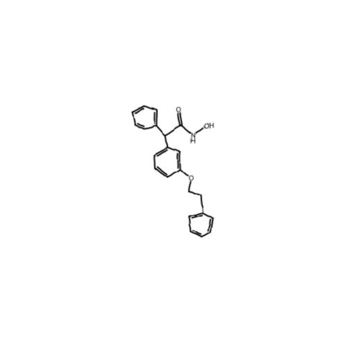 O=C(NO)C(c1ccccc1)c1cccc(OCCc2ccccc2)c1